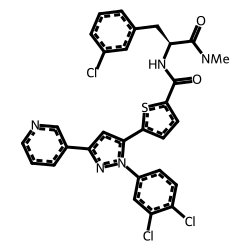 CNC(=O)[C@H](Cc1cccc(Cl)c1)NC(=O)c1ccc(-c2cc(-c3cccnc3)nn2-c2ccc(Cl)c(Cl)c2)s1